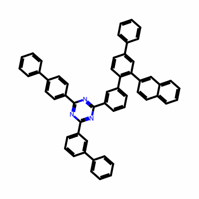 c1ccc(-c2ccc(-c3nc(-c4cccc(-c5ccccc5)c4)nc(-c4cccc(-c5ccc(-c6ccccc6)cc5-c5ccc6ccccc6c5)c4)n3)cc2)cc1